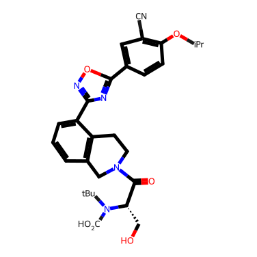 CC(C)Oc1ccc(-c2nc(-c3cccc4c3CCN(C(=O)[C@H](CO)N(C(=O)O)C(C)(C)C)C4)no2)cc1C#N